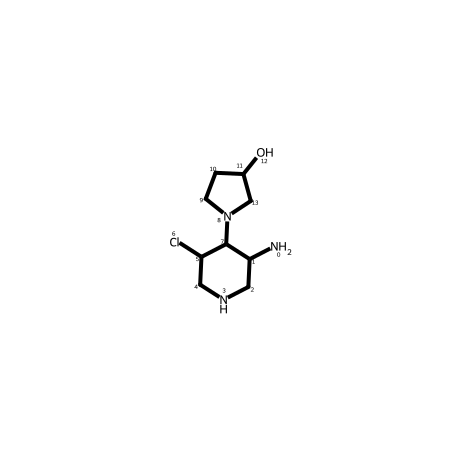 NC1CNCC(Cl)C1N1CCC(O)C1